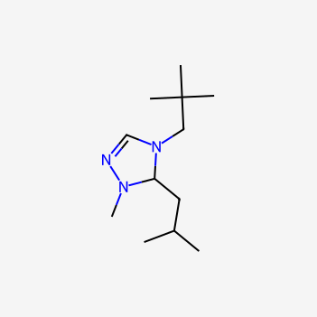 CC(C)CC1N(CC(C)(C)C)C=NN1C